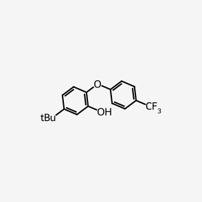 CC(C)(C)c1ccc(Oc2ccc(C(F)(F)F)cc2)c(O)c1